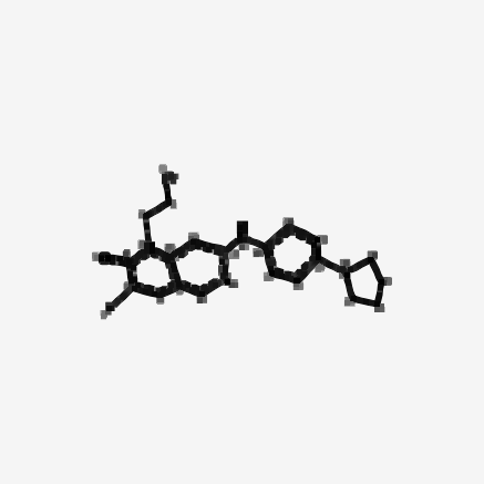 CC(C)CCn1c(=O)c(F)cc2cnc(Nc3ccc(N4CCCC4)cc3)cc21